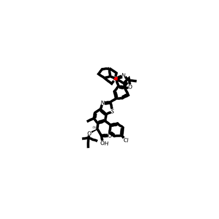 Cc1cc2nc(-c3ccc4c(c3)c(C3C5CCC3CN(C3COC3)C5)nn4C)sc2c(-c2ccc(Cl)cc2)c1[C@H](OC(C)(C)C)C(=O)O